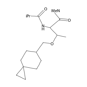 CNC(=O)C(NC(=O)C(C)C)C(C)OCC1CCC2(CC1)CC2